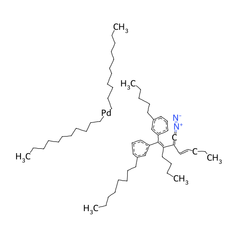 CCCC=CC(=C=[N+]=[N-])C(CCCC)=C(c1cccc(CCCCC)c1)c1cccc(CCCCCCCC)c1.CCCCCCCCCC[CH2][Pd][CH2]CCCCCCCCCC